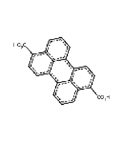 O=C(O)c1ccc2c3cccc4c(C(=O)O)ccc(c5cccc1c52)c43